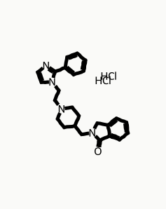 Cl.Cl.O=C1c2ccccc2CN1CC1CCN(CCn2ccnc2-c2ccccc2)CC1